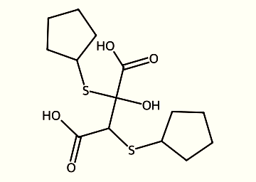 O=C(O)C(SC1CCCC1)C(O)(SC1CCCC1)C(=O)O